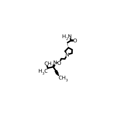 CC#C/C(=N\OCCN1CC[C@@H](CC(N)=O)C1)C(C)C